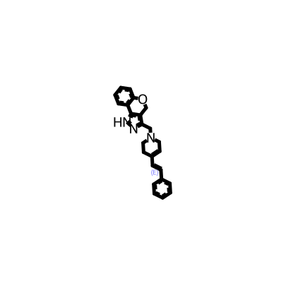 C1=C(/C=C/c2ccccc2)CCN(Cc2n[nH]c3c2COc2ccccc2-3)C1